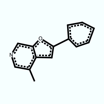 Cc1cncc2oc(-c3ccccc3)cc12